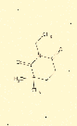 CCN1C(=O)CCC(C)(C)C1=O